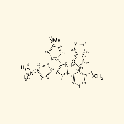 C=Cc1cccc(-c2nc(-c3ccc(N(C)C)cc3)c(-c3ccc(NC)cc3)[nH]2)c1-c1nc2ccccc2o1